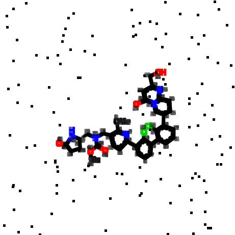 COc1nc(-c2cccc(-c3cccc(-c4ccc5nc(CO)cc(=O)n5c4)c3Cl)c2Cl)ccc1CN(C[C@@H]1CCC(=O)N1)C(=O)OC(C)(C)C